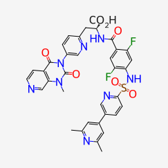 Cc1cc(-c2ccc(S(=O)(=O)Nc3cc(F)c(C(=O)N[C@@H](Cc4ccc(-n5c(=O)c6ccncc6n(C)c5=O)cn4)C(=O)O)cc3F)nc2)cc(C)n1